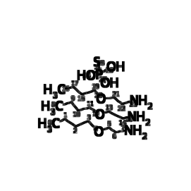 CCCCOCCN.CCCCOCCN.CCCCOCCN.OP(O)(O)=S